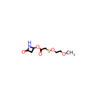 COCCOSCC(=O)OC1CC(=O)N1